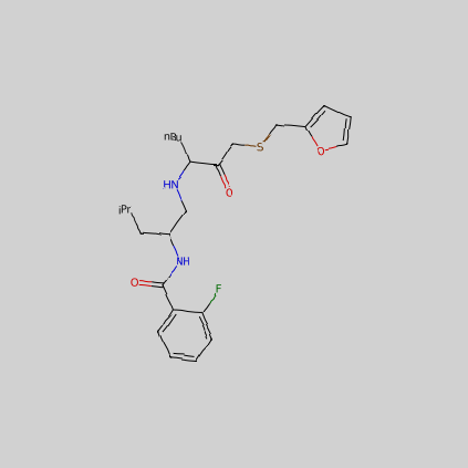 CCCCC(NCC(CC(C)C)NC(=O)c1ccccc1F)C(=O)CSCc1ccco1